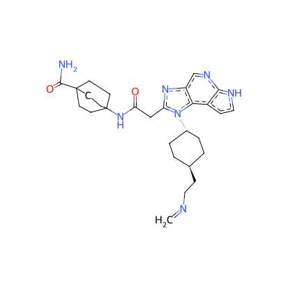 C=NCC[C@H]1CC[C@H](n2c(CC(=O)NC34CCC(C(N)=O)(CC3)CC4)nc3cnc4[nH]ccc4c32)CC1